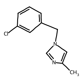 Cc1cn(Cc2cccc(Cl)c2)cn1